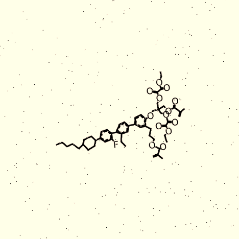 C=C(C)C(=O)OCCCc1cc(-c2ccc(-c3ccc(C4CCC(CCCCC)CC4)cc3F)c(CC)c2)ccc1OCC(COC(=O)C(=C)C)(COC(=O)C(=O)OCC)COC(=O)C(=O)OCC